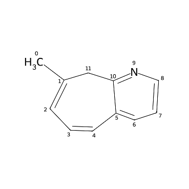 CC1=CC=Cc2cccnc2C1